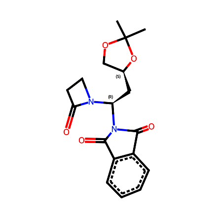 CC1(C)OC[C@H](C[C@H](N2CCC2=O)N2C(=O)c3ccccc3C2=O)O1